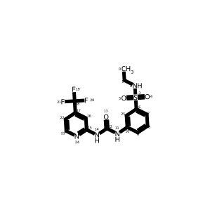 CCNS(=O)(=O)c1cccc(NC(=O)Nc2cc(C(F)(F)F)ccn2)c1